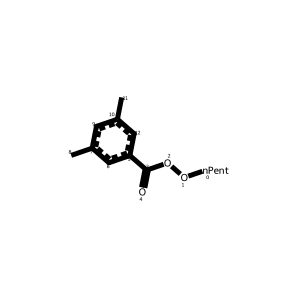 [CH2]CCCCOOC(=O)c1cc(C)cc(C)c1